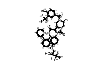 C[C@H]1Cn2c(c(C(=O)NCc3ccccc3-c3ccccn3)n(-c3ccc(OC[C@](C)(O)C(F)(F)F)cc3)c2=O)CN1C(=O)c1ccc(Br)c(C(F)(F)F)c1